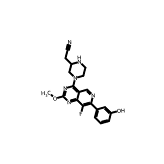 COc1nc(N2CCNC(CC#N)C2)c2cnc(-c3cccc(O)c3)c(F)c2n1